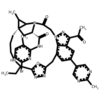 CCC1NCCC[C@@]23C[C@@H](C(=O)Nc4nc(Br)ccc4C)N(C(=O)Cn4nc(C(C)=O)c5cc(-c6cnc(C)nc6)cc(c54)Cc4nnc1o4)C2C3C